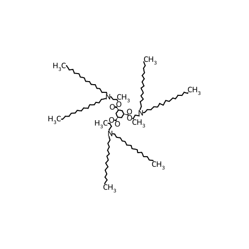 CCCCCCCCCCCCCCCCN(CCCCCCCCCCCCCCCC)CCC(C)OC(=O)[C@H]1C[C@@H](C(=O)OC(C)CCN(CCCCCCCCCCCCCCCC)CCCCCCCCCCCCCCCC)C[C@@H](C(=O)OC(C)CCN(CCCCCCCCCCCCCCCC)CCCCCCCCCCCCCCCC)C1